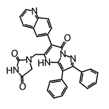 O=C1CN(Cc2[nH]c3c(-c4ccccc4)c(-c4ccccc4)nn3c(=O)c2-c2ccc3ncccc3c2)C(=O)N1